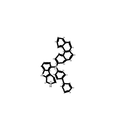 C1=Cc2c(sc3cccc(N(c4ccc(-c5ccccc5)cc4)c4ccc5c(ccc6ccc7ccccc7c65)c4)c23)CN1